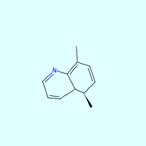 CC1=C2N=CC=CC2[C@H](C)C=C1